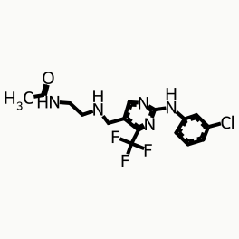 CC(=O)NCCNCc1cnc(Nc2cccc(Cl)c2)nc1C(F)(F)F